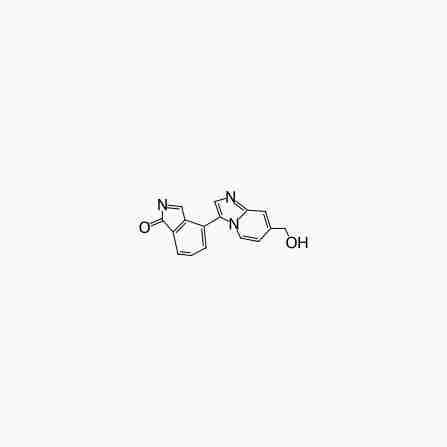 O=C1N=Cc2c1cccc2-c1cnc2cc(CO)ccn12